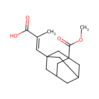 COC(=O)C12CC3CC(CC(C=C(C)C(=O)O)(C3)C1)C2